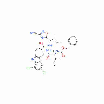 CCC(C)[C@H](NC(=O)OCc1ccccc1)C(=O)N[C@@]1(C(O)N[C@H](c2nc(C#N)no2)C(C)CC)CCc2[nH]c3c(Cl)cc(Cl)cc3c2C1